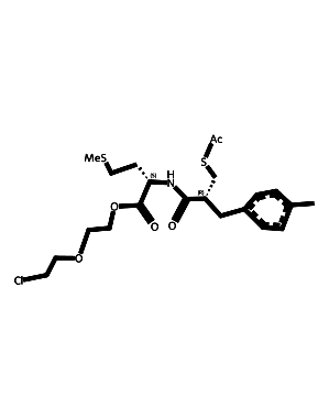 CSCC[C@H](NC(=O)[C@H](CSC(C)=O)Cc1ccc(C)cc1)C(=O)OCCOCCCl